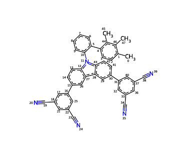 Cc1ccc(-c2ccccc2-n2c3ccc(-c4cc(C#N)cc(C#N)c4)cc3c3cc(-c4cc(C#N)cc(C#N)c4)ccc32)c(C)c1C